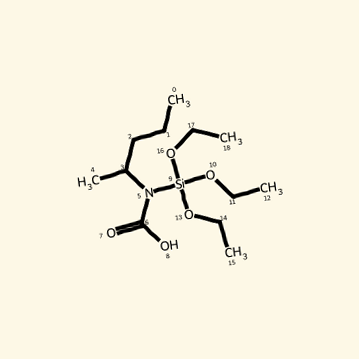 CCCC(C)N(C(=O)O)[Si](OCC)(OCC)OCC